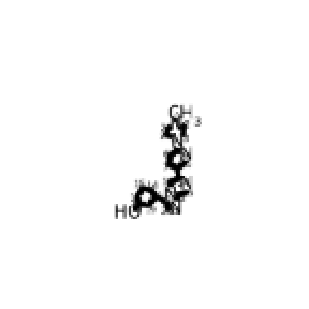 CN1CCN(c2ccc(-c3cn4c(-c5cccc(O)c5)cnc4cn3)cn2)CC1